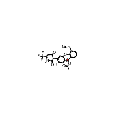 CC(=O)OOc1cccc(CC#N)c1Oc1cc(-n2c(=O)cc(C(F)(F)F)n(C)c2=O)c(F)cc1Br